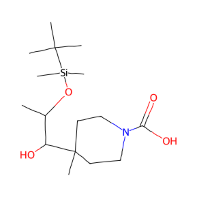 CC(O[Si](C)(C)C(C)(C)C)C(O)C1(C)CCN(C(=O)O)CC1